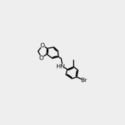 Cc1cc(Br)ccc1NCc1ccc2c(c1)OCO2